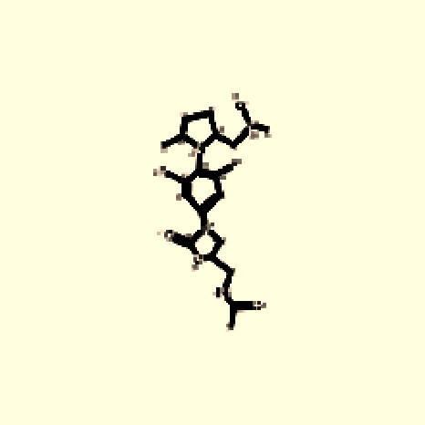 CC(=O)NCC1CN(c2cc(F)c(N3C(C)CCC3C[S+](C)[O-])c(F)c2)C(=O)O1